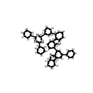 c1ccc(-c2cc(-c3cccc4c3oc3cccc(-c5cccc(-c6nc(-c7ccccc7)nc(-c7ccccc7)n6)c5)c34)c3sc4ccccc4c3c2)cc1